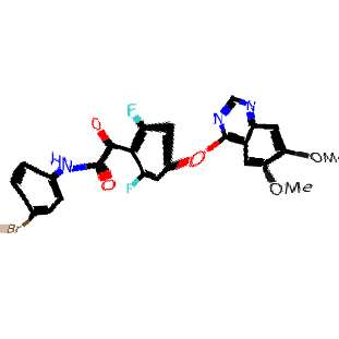 COc1cc2ncnc(Oc3cc(F)c(C(=O)C(=O)Nc4ccc(Br)cc4)c(F)c3)c2cc1OC